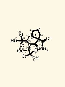 CCC(O)(CC)[C@H](N(C(=O)C1(C(N)=O)CCCC1)[C@H](C(C)(C)C)C(O)(CC)CC)C(C)(C)C